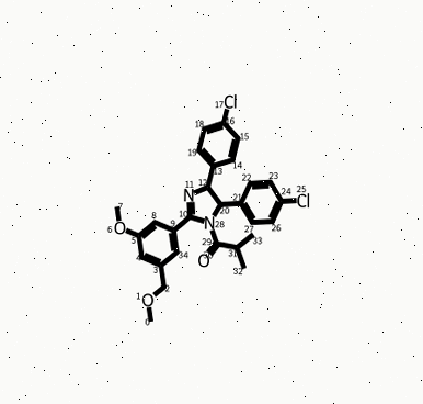 COCc1cc(OC)cc(C2=NC(c3ccc(Cl)cc3)C(c3ccc(Cl)cc3)N2C(=O)C(C)C)c1